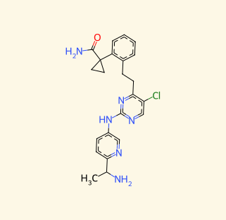 CC(N)c1ccc(Nc2ncc(Cl)c(CCc3ccccc3C3(C(N)=O)CC3)n2)cn1